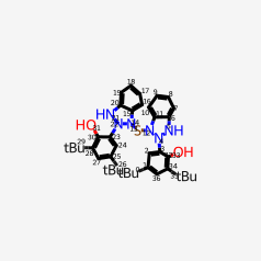 CC(C)(C)c1cc(N2Nc3ccccc3N2SN2c3ccccc3NN2c2cc(C(C)(C)C)cc(C(C)(C)C)c2O)c(O)c(C(C)(C)C)c1